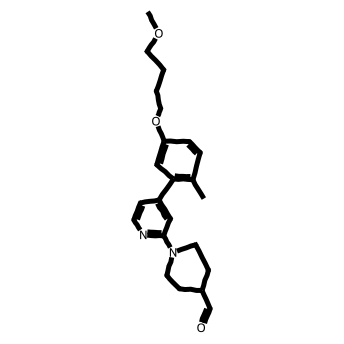 COCCCCOc1ccc(C)c(-c2ccnc(N3CCC(C=O)CC3)c2)c1